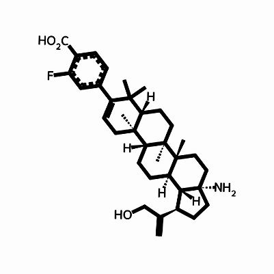 C=C(CO)[C@@H]1CC[C@]2(N)CC[C@]3(C)[C@H](CC[C@@H]4[C@@]5(C)CC=C(c6ccc(C(=O)O)c(F)c6)C(C)(C)[C@@H]5CC[C@]43C)[C@@H]12